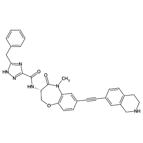 CN1C(=O)[C@@H](NC(=O)c2n[nH]c(Cc3ccccc3)n2)COc2ccc(C#Cc3ccc4c(c3)CNCC4)cc21